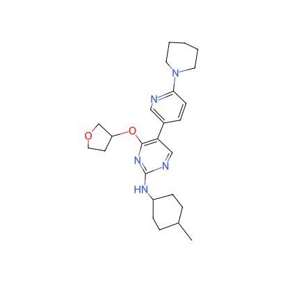 CC1CCC(Nc2ncc(-c3ccc(N4CCCCC4)nc3)c(OC3CCOC3)n2)CC1